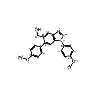 CC(C)Oc1ccc(-c2cc3c(cc2CO)nnn3-c2ccc(OC(C)C)cc2)cc1